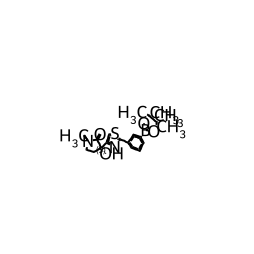 CN1CC[C@](O)(c2csc(-c3cccc(B4OC(C)(C)C(C)(C)O4)c3)n2)C1=O